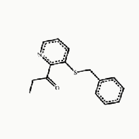 CCC(=O)c1ncccc1SCc1ccccc1